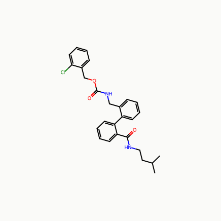 CC(C)CCNC(=O)c1ccccc1-c1ccccc1CNC(=O)OCc1ccccc1Cl